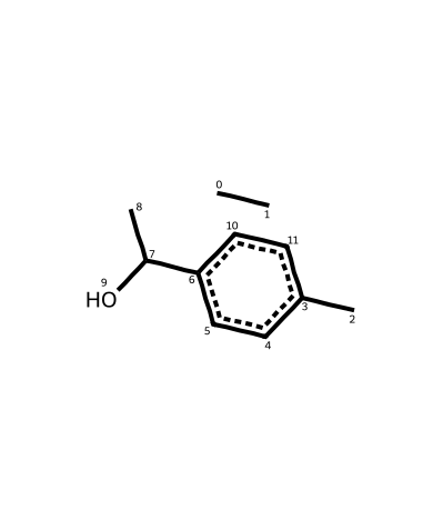 CC.Cc1ccc(C(C)O)cc1